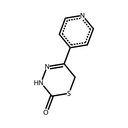 O=C1NN=C(c2ccncc2)CS1